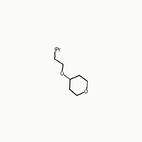 CC(C)CCOC1CCOCC1